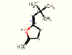 C=C1CC/C(=C\C(C)(C)C)O1